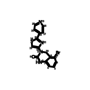 O=C1Nc2cccc(Br)c2CN1c1csc(-c2ccncc2)n1